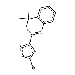 CC1(C)OC(c2nc(Br)cs2)=Nc2ccccc21